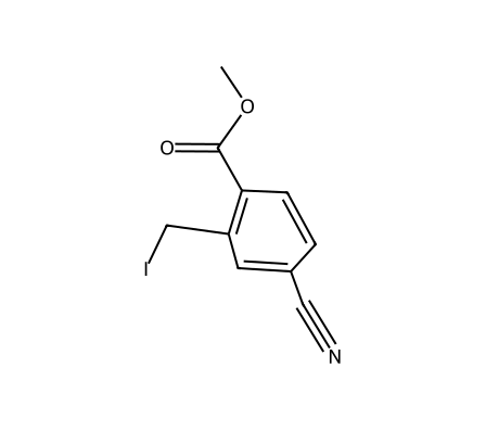 COC(=O)c1ccc(C#N)cc1CI